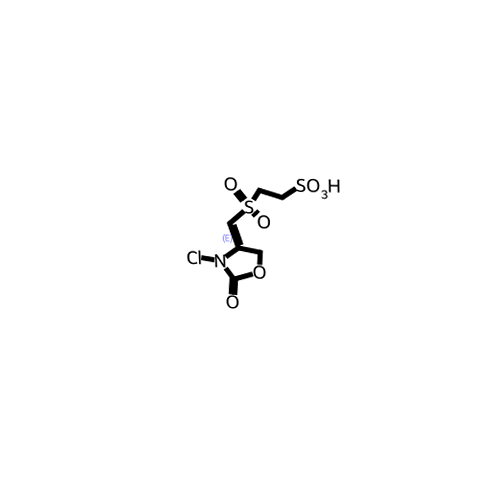 O=C1OC/C(=C\S(=O)(=O)CCS(=O)(=O)O)N1Cl